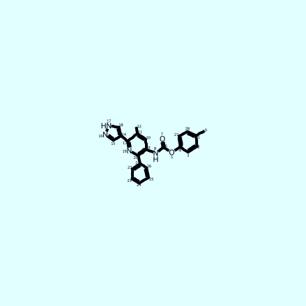 Cc1ccc(OC(=O)Nc2cc(C)c(-c3cn[nH]c3)nc2-c2ccccc2)cc1